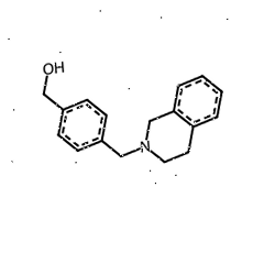 OCc1ccc(CN2CCc3ccccc3C2)cc1